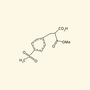 COC(=O)C(Cc1ccc(S(C)(=O)=O)cc1)C(=O)O